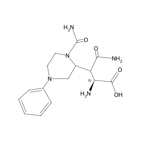 NC(=O)C(C1CN(c2ccccc2)CCN1C(N)=O)[C@H](N)C(=O)O